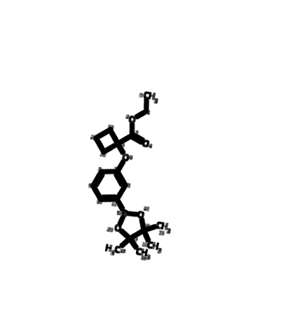 CCOC(=O)C1(Oc2cccc(B3OC(C)(C)C(C)(C)O3)c2)CCC1